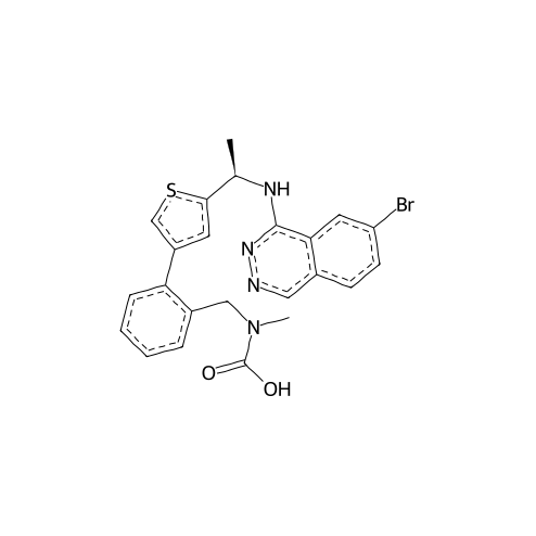 C[C@@H](Nc1nncc2ccc(Br)cc12)c1cc(-c2ccccc2CN(C)C(=O)O)cs1